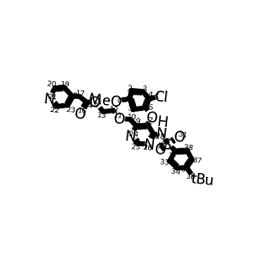 COc1ccc(Cl)c(Oc2c(COCCOC(=O)Cc3ccncc3)ncnc2NS(=O)(=O)c2ccc(C(C)(C)C)cc2)c1